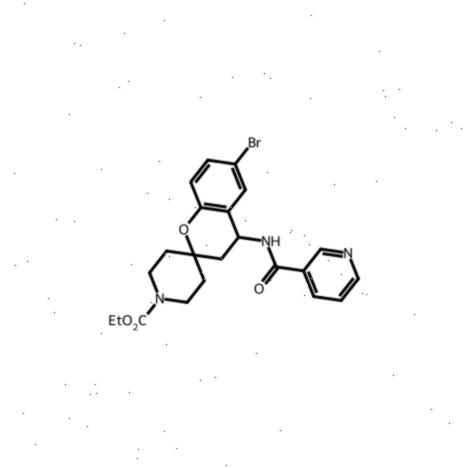 CCOC(=O)N1CCC2(CC1)CC(NC(=O)c1cccnc1)c1cc(Br)ccc1O2